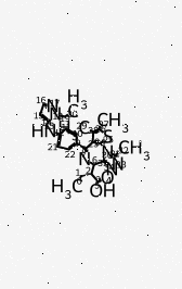 CC[C@H](C(=O)O)C1N=C(c2ccc(Nc3ccnn3CC)cc2)c2c(sc(C)c2C)-n2c(C)nnc21